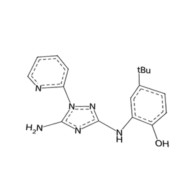 CC(C)(C)c1ccc(O)c(Nc2nc(N)n(-c3ccccn3)n2)c1